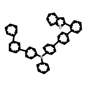 c1ccc(-c2cccc(-c3ccc(N(c4ccccc4)c4ccc(-c5ccc(-c6ccccc6-c6cc7ccccc7o6)cc5)cc4)cc3)c2)cc1